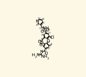 Cc1cc(C(=O)N=C(N)N)cc2c1Oc1c(Cl)cc(S(=O)(=O)NCc3cccnc3)cc1CS2(=O)=O